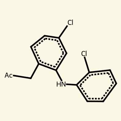 CC(=O)Cc1ccc(Cl)cc1Nc1ccccc1Cl